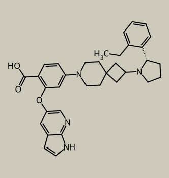 CCc1ccccc1[C@@H]1CCCN1C1CC2(CCN(c3ccc(C(=O)O)c(Oc4cnc5[nH]ccc5c4)c3)CC2)C1